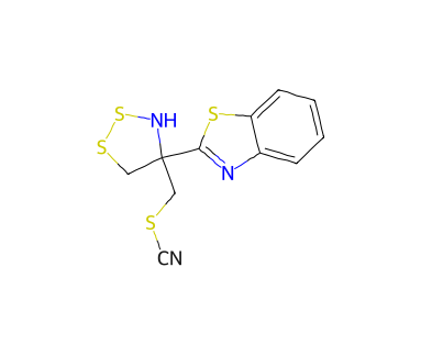 N#CSCC1(c2nc3ccccc3s2)CSSN1